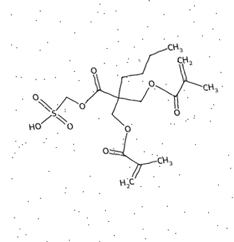 C=C(C)C(=O)OCC(CCCC)(COC(=O)C(=C)C)C(=O)OCS(=O)(=O)O